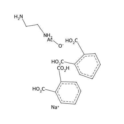 CC(=O)[O-].NCCN.O=C(O)c1ccccc1C(=O)O.O=C(O)c1ccccc1C(=O)O.[Na+]